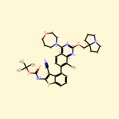 Cc1c(-c2cccc3sc(NC(=O)OC(C)(C)C)c(C#N)c23)ccc2c(N3CCCOCC3)nc(OCC34CCCN3CCC4)nc12